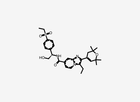 CCc1c(C2=CC(C)(C)OC(C)(C)C2)nc2cc(C(=O)N[C@@H](CO)c3ccc(S(=O)(=O)CC)cc3)ccn12